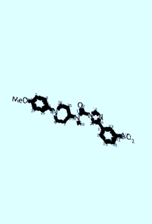 COc1ccc(N2CCC(N(C)C(=O)n3cnc(-c4cccc([N+](=O)[O-])c4)c3)CC2)cc1